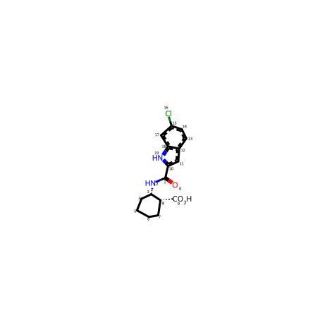 O=C(N[C@H]1CCCC[C@H]1C(=O)O)c1cc2ccc(Cl)cc2[nH]1